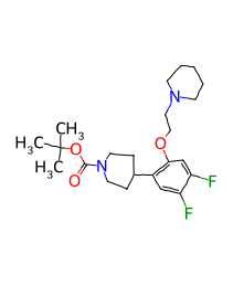 CC(C)(C)OC(=O)N1CCC(c2cc(F)c(F)cc2OCCN2CCCCC2)CC1